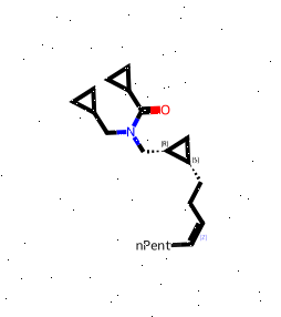 CCCCC/C=C\CC[C@H]1C[C@H]1CN(CC1CC1)C(=O)C1CC1